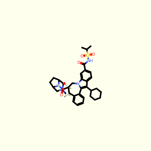 CC(C)S(=O)(=O)NC(=O)c1ccc2c(C3CCCCC3)c3n(c2c1)C[C@](C)(C(=O)N1C2CCC1CN(C)C2)[C@@H](C)c1ccccc1-3